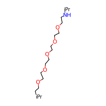 CC(C)CCOCCOCCOCCOCCOCCNC(C)C